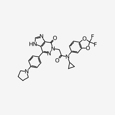 O=C(Cn1nc(-c2ccc(N3CCCC3)cc2)c2[nH]cnc2c1=O)N(c1ccc2c(c1)OC(F)(F)O2)C1CC1